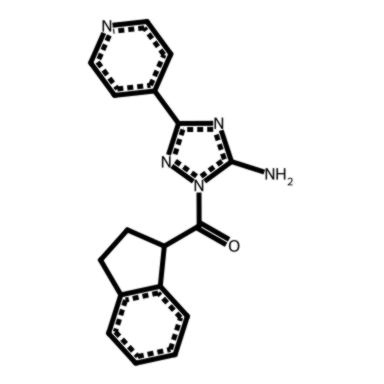 Nc1nc(-c2ccncc2)nn1C(=O)C1CCc2ccccc21